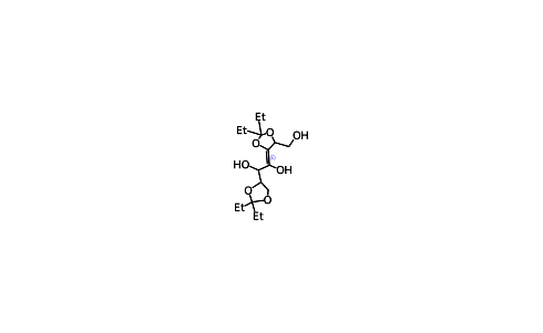 CCC1(CC)O/C(=C(/O)C(O)C2COC(CC)(CC)O2)C(CO)O1